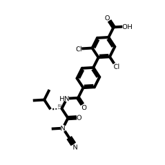 CC(C)C[C@H](NC(=O)c1ccc(-c2c(Cl)cc(C(=O)O)cc2Cl)cc1)C(=O)N(C)C#N